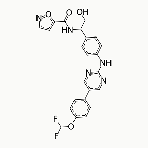 O=C(NC(CO)c1ccc(Nc2ncc(-c3ccc(OC(F)F)cc3)cn2)cc1)c1ccno1